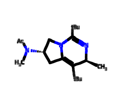 CC(=O)N(C)[C@H]1CC2=C(C(C)(C)C)[C@H](C)N=C(C(C)(C)C)N2C1